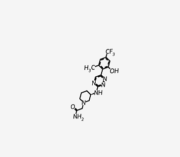 Cc1cc(C(F)(F)F)cc(O)c1-c1cnc(N[C@@H]2CCCN(CC(N)=O)C2)nn1